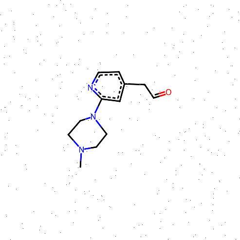 CN1CCN(c2cc(CC=O)ccn2)CC1